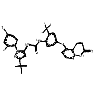 CC(C)(C)c1cc(NC(=O)Nc2ccc(Oc3ccnc4c3CCC(=O)N4)cc2C(F)(F)F)n(-c2ccc(F)cc2F)n1